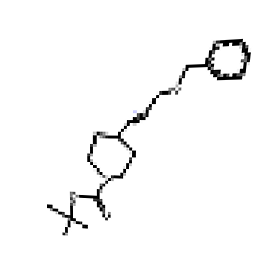 CC(C)(C)OC(=O)N1CCC(/C=C/COCc2ccccc2)CC1